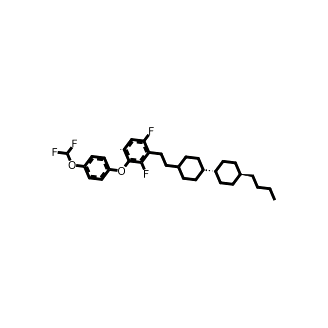 CCCC[C@H]1CC[C@H](C2CCC(CCc3c(F)c[c]c(Oc4ccc(OC(F)F)cc4)c3F)CC2)CC1